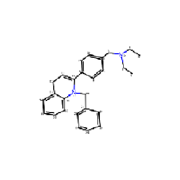 CCN(CC)Cc1ccc(C2=CCc3ccccc3N2Cc2ccccc2)cc1